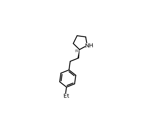 CCc1ccc(CC[C@H]2CCCN2)cc1